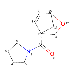 O=C(N1CCCC1)C12C=CC(C1)OC2